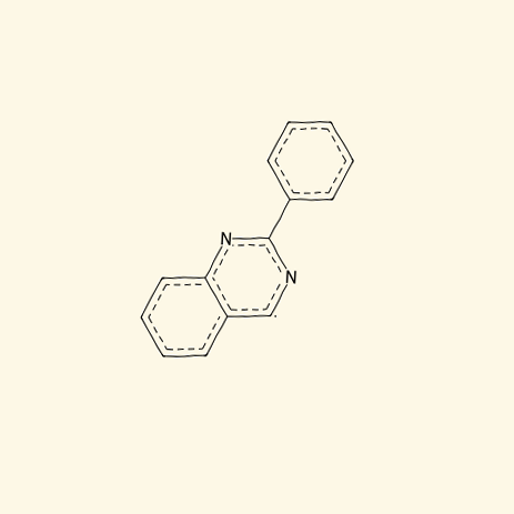 [c]1nc(-c2ccccc2)nc2ccccc12